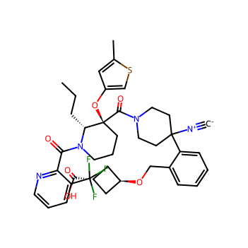 [C-]#[N+]C1(c2ccccc2CO[C@H]2C[C@H](C(=O)O)C2)CCN(C(=O)[C@]2(Oc3csc(C)c3)CCCN(C(=O)c3ncccc3C(F)(F)F)[C@@H]2CCC)CC1